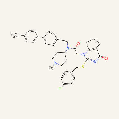 CCN1CCC(N(Cc2ccc(-c3ccc(C(F)(F)F)cc3)cc2)C(=O)Cn2c(SCc3ccc(F)cc3)nc(=O)c3c2CCC3)CC1